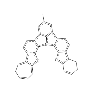 Cc1cc2c3ccc4c5c(oc4c3n3c2c(c1)c1ccc2c4c(oc2c13)=CC=CCC=4)C=CCC5